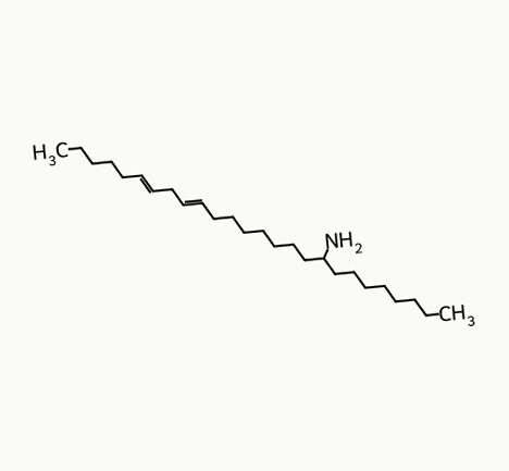 CCCCCC=CCC=CCCCCCCCC(N)CCCCCCCC